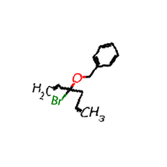 C=CC(Br)(CCC)OCc1ccccc1